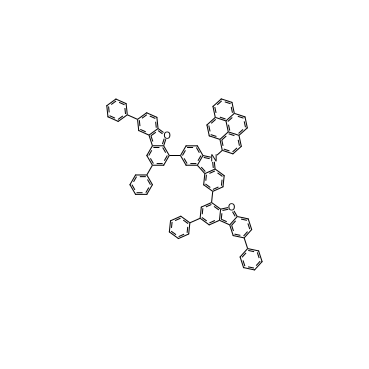 c1ccc(-c2ccc3oc4c(-c5ccc6c(c5)c5cc(-c7cc(-c8ccccc8)cc8c7oc7ccc(-c9ccccc9)cc78)ccc5n6-c5ccc6ccc7cccc8ccc5c6c78)cc(-c5ccccc5)cc4c3c2)cc1